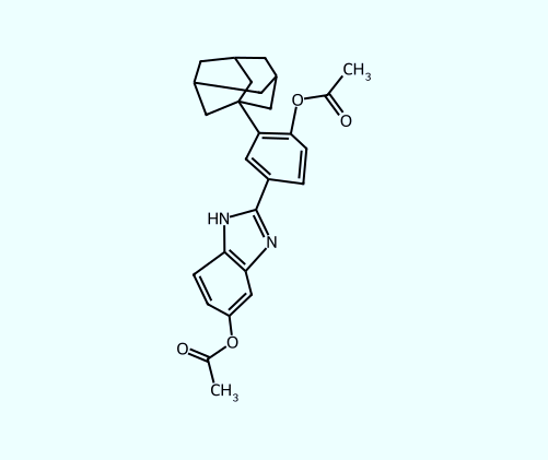 CC(=O)Oc1ccc2[nH]c(-c3ccc(OC(C)=O)c(C45CC6CC(CC(C6)C4)C5)c3)nc2c1